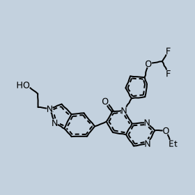 CCOc1ncc2cc(-c3ccc4nn(CCO)cc4c3)c(=O)n(-c3ccc(OC(F)F)cc3)c2n1